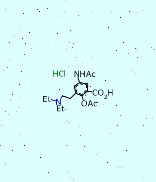 CCN(CC)CCc1cc(NC(C)=O)cc(C(=O)O)c1OC(C)=O.Cl